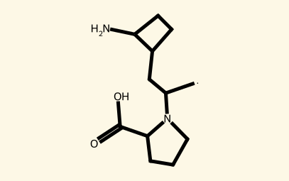 [CH2]C(CC1CCC1N)N1CCCC1C(=O)O